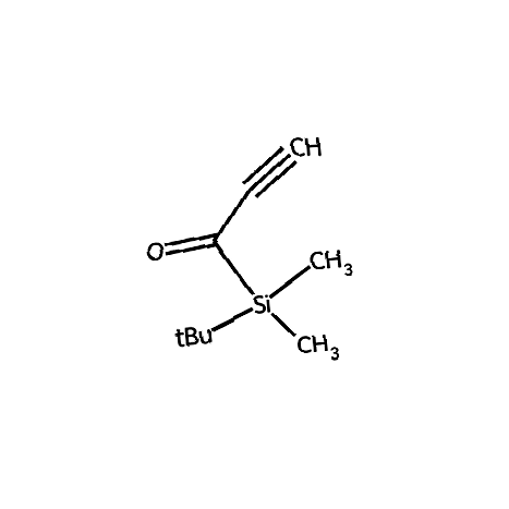 C#CC(=O)[Si](C)(C)C(C)(C)C